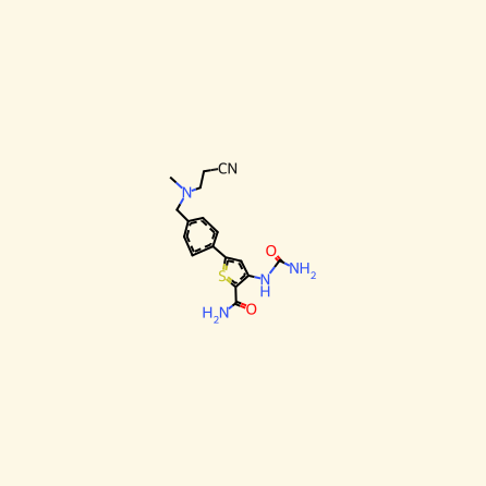 CN(CCC#N)Cc1ccc(-c2cc(NC(N)=O)c(C(N)=O)s2)cc1